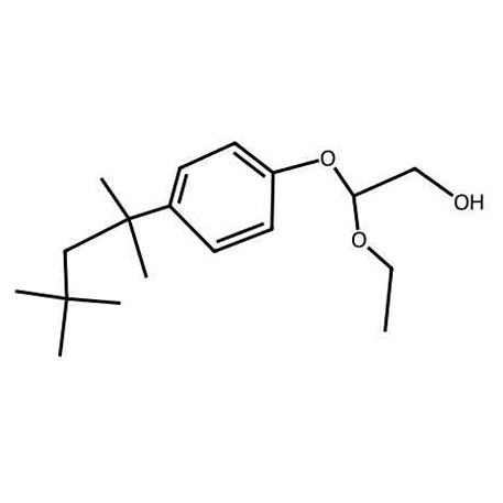 CCOC(CO)Oc1ccc(C(C)(C)CC(C)(C)C)cc1